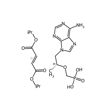 CC(C)OC(=O)/C=C/C(=O)OC(C)C.C[C@H](Cn1cnc2c(N)ncnc21)OCP(=O)(O)O